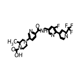 CC1CN(c2ccc(C(=O)NCc3cnc(-c4ccnc(C(F)(F)F)c4)c(F)c3)nc2)CCN1C(=O)O